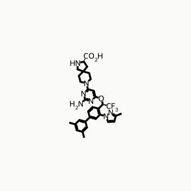 Cc1cc(C)cc(-c2ccc([C@@H](Oc3cc(N4CCC5(CC4)CN[C@H](C(=O)O)C5)nc(N)n3)C(F)(F)F)c(-n3ccc(C)n3)c2)c1